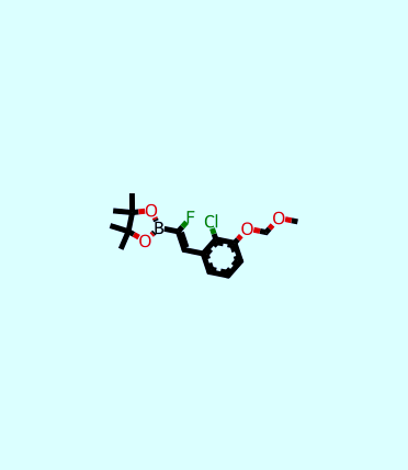 COCOc1cccc(/C=C(\F)B2OC(C)(C)C(C)(C)O2)c1Cl